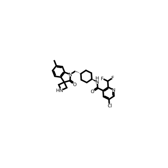 Cc1ccc2c(c1)N(C[C@H]1CC[C@H](NC(=O)c3cc(Cl)cnc3C(F)F)CC1)C(=O)C21CNC1